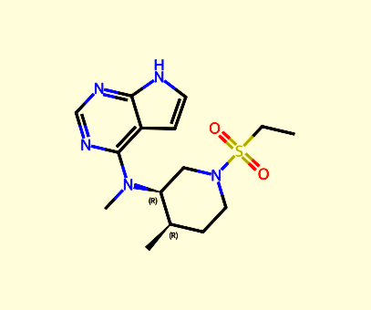 CCS(=O)(=O)N1CC[C@@H](C)[C@@H](N(C)c2ncnc3[nH]ccc23)C1